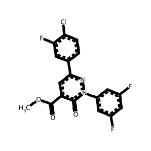 COC(=O)c1cc(-c2ccc(Cl)c(F)c2)nn(-c2cc(F)cc(F)c2)c1=O